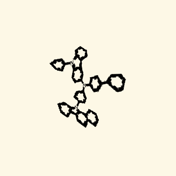 c1ccc(-c2ccc(N(c3ccc(-n4c5ccccc5c5ccc6ccccc6c54)cc3)c3ccc4c(c3)c3ccccc3n4-c3ccccc3)cc2)cc1